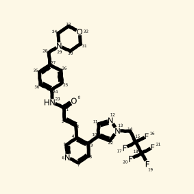 O=C(C=Cc1cnccc1-c1cnn(CC(F)(F)C(F)(F)F)c1)Nc1ccc(CN2CCOCC2)cc1